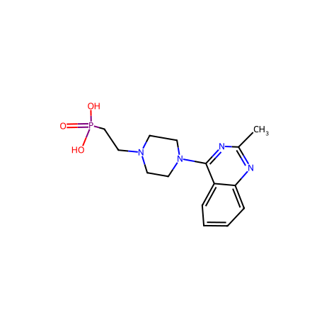 Cc1nc(N2CCN(CCP(=O)(O)O)CC2)c2ccccc2n1